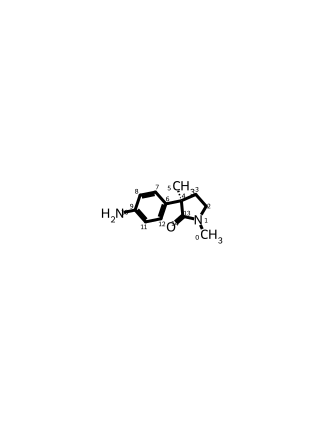 CN1CC[C@](C)(c2ccc(N)cc2)C1=O